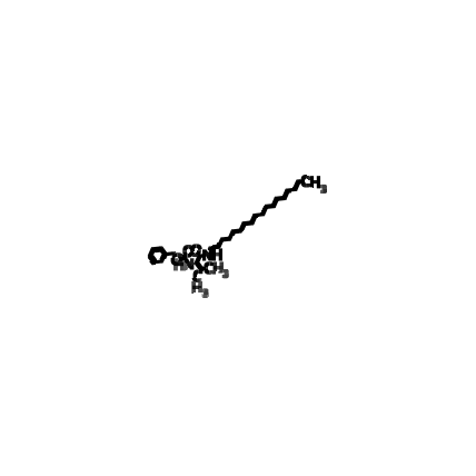 CCCCCCCCCCCCCCCCCCNC(=O)[C@@H](NC(=O)OCc1ccccc1)C(C)C